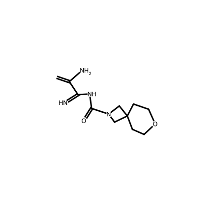 C=C(N)C(=N)NC(=O)N1CC2(CCOCC2)C1